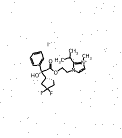 CC(C)c1n(CCOC(=O)[C@](O)(c2ccccc2)[C@@H]2CCC(F)(F)C2)cc[n+]1C.[I-]